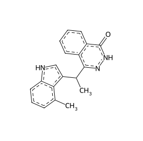 Cc1cccc2[nH]cc(C(C)c3n[nH]c(=O)c4ccccc34)c12